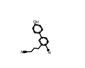 N#CCCCc1cc(-c2ccc(O)cc2)ccc1C#N